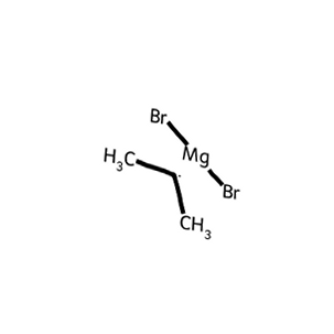 C[CH]C.[Br][Mg][Br]